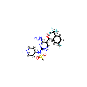 CS(=O)(=O)N(c1ncc(C(=O)c2cc(F)ccc2C(F)(F)F)c(N)n1)C1CCNCC1